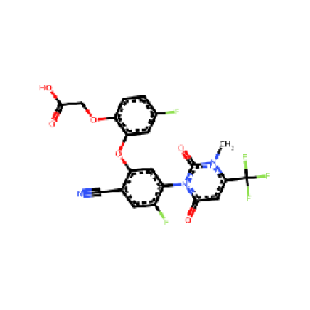 Cn1c(C(F)(F)F)cc(=O)n(-c2cc(Oc3cc(F)ccc3OCC(=O)O)c(C#N)cc2F)c1=O